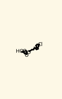 O=c1cc(CO)occ1OCCCCCn1ccc2cc(Cl)ccc21